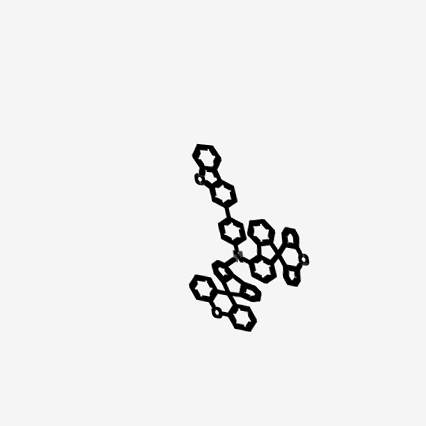 c1ccc2c(c1)Oc1ccccc1C21c2ccccc2-c2c(N(c3ccc(-c4ccc5c(c4)oc4ccccc45)cc3)c3cccc4c3-c3ccccc3C43c4ccccc4Oc4ccccc43)cccc21